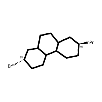 CCC[C@H]1CCC2C(CCC3C[C@@H](Br)CCC32)C1